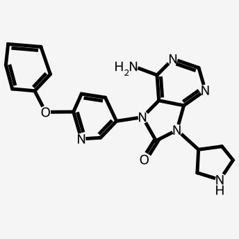 Nc1ncnc2c1n(-c1ccc(Oc3ccccc3)nc1)c(=O)n2C1CCNC1